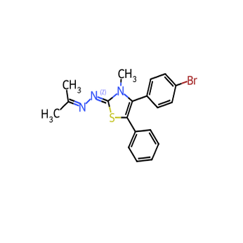 CC(C)=N/N=c1\sc(-c2ccccc2)c(-c2ccc(Br)cc2)n1C